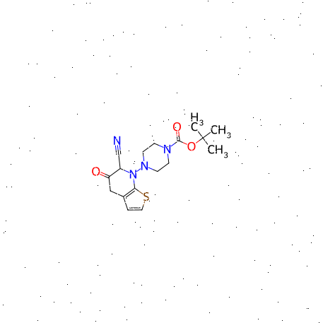 CC(C)(C)OC(=O)N1CCN(N2c3sccc3CC(=O)C2C#N)CC1